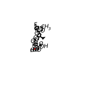 CNC(=O)c1c(-c2ccc(F)cc2)oc2cc(CN(c3ccc([N+](=O)[O-])c(C(C(=O)O)C(=O)O)c3)[SH](=O)=O)c(C3CC3)cc12